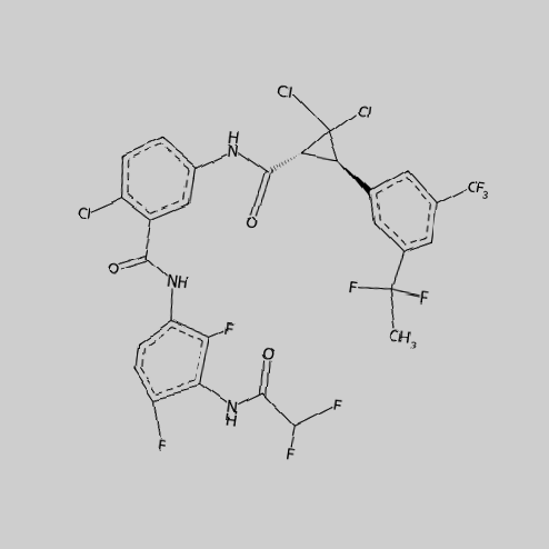 CC(F)(F)c1cc([C@H]2[C@H](C(=O)Nc3ccc(Cl)c(C(=O)Nc4ccc(F)c(NC(=O)C(F)F)c4F)c3)C2(Cl)Cl)cc(C(F)(F)F)c1